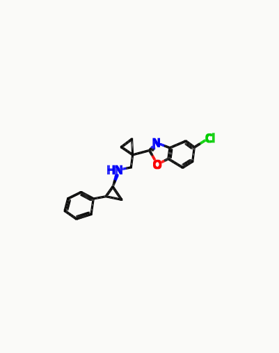 Clc1ccc2oc(C3(CN[C@H]4CC4c4ccccc4)CC3)nc2c1